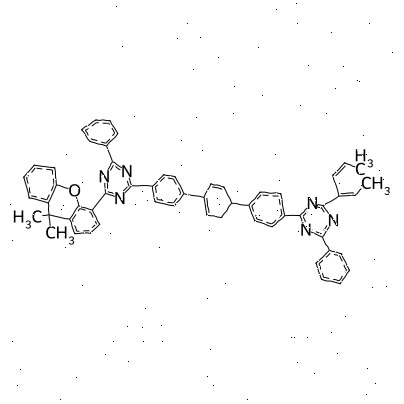 C/C=C\C(=C/C)c1nc(-c2ccccc2)nc(-c2ccc(C3C=CC(c4ccc(-c5nc(-c6ccccc6)nc(-c6cccc7c6Oc6ccccc6C7(C)C)n5)cc4)=CC3)cc2)n1